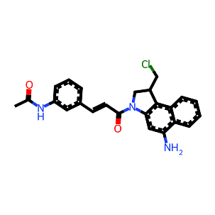 CC(=O)Nc1cccc(/C=C/C(=O)N2CC(CCl)c3c2cc(N)c2ccccc32)c1